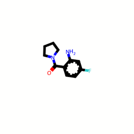 Nc1cc(F)ccc1C(=O)N1CCCC1